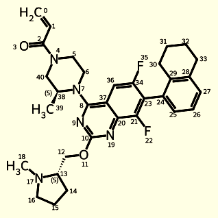 C=CC(=O)N1CCN(c2nc(OC[C@@H]3CCCN3C)nc3c(F)c(-c4cccc5c4CCCC5)c(F)cc23)[C@@H](C)C1